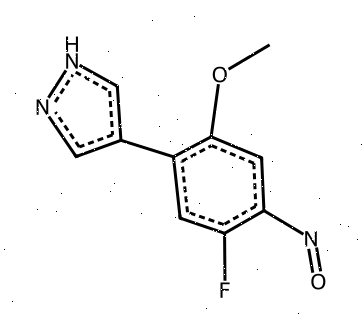 COc1cc(N=O)c(F)cc1-c1cn[nH]c1